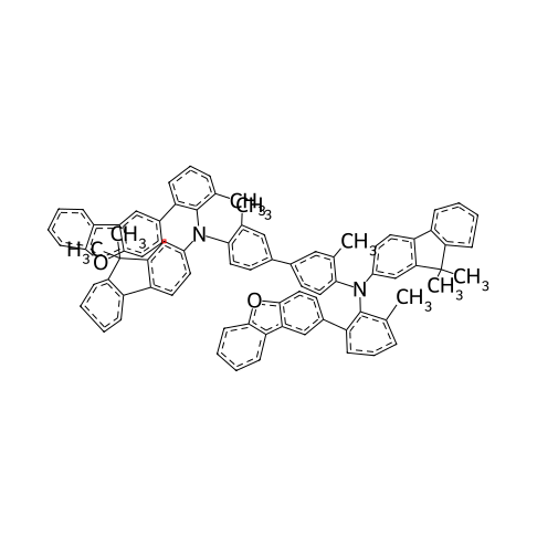 Cc1cc(-c2ccc(N(c3ccc4c(c3)C(C)(C)c3ccccc3-4)c3c(C)cccc3-c3ccc4oc5ccccc5c4c3)c(C)c2)ccc1N(c1ccc2c(c1)C(C)(C)c1ccccc1-2)c1c(C)cccc1-c1ccc2oc3ccccc3c2c1